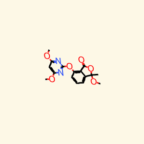 COc1cc(OC)nc(Oc2cccc3c2C(=O)OC3(C)OC)n1